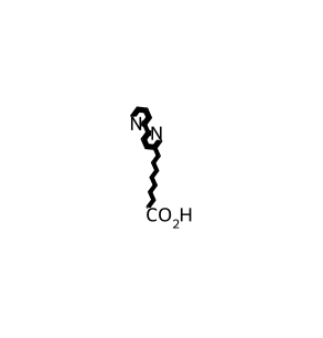 O=C(O)CCCCCCCCc1ccc(-c2ccccn2)nc1